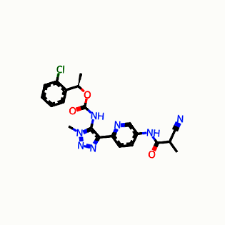 CC(C#N)C(=O)Nc1ccc(-c2nnn(C)c2NC(=O)O[C@H](C)c2ccccc2Cl)nc1